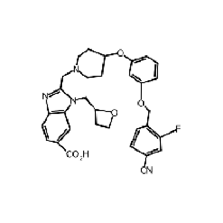 N#Cc1ccc(COc2cccc(OC3CCN(Cc4nc5ccc(C(=O)O)cc5n4C[C@@H]4CCO4)CC3)c2)c(F)c1